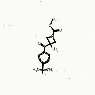 CC(C)(C)OC(=O)N1CC(C)(C(=O)c2ccc(C(C)(C)F)cc2)C1